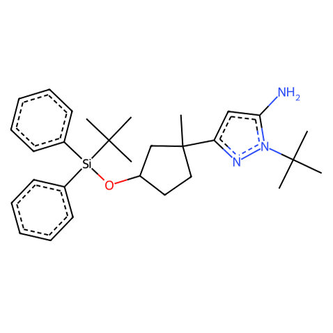 CC1(c2cc(N)n(C(C)(C)C)n2)CCC(O[Si](c2ccccc2)(c2ccccc2)C(C)(C)C)C1